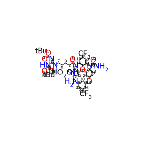 CC(C)(C)OC(=O)N=C(NCCCCC(=O)Nc1cc(C(F)(F)F)cc(N(C(N)=O)c2ccc(Oc3cc(N)cc(C(F)(F)F)c3)cc2)c1O[C@@H]1CCN(C(=O)O)C1)NC(=O)OC(C)(C)C